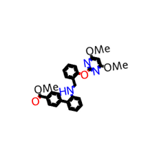 COC(=O)c1ccc(-c2ccccc2NCc2ccccc2Oc2nc(OC)cc(OC)n2)cc1